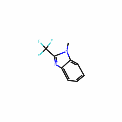 Cn1c(C(F)(F)F)nc2c[c]ccc21